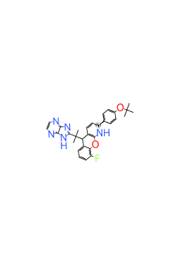 CC(C)(C)Oc1ccc([C@@H]2C=CC3=C(N2)Oc2c(F)cccc2C3C(C)(C)c2nc3nccnc3[nH]2)cc1